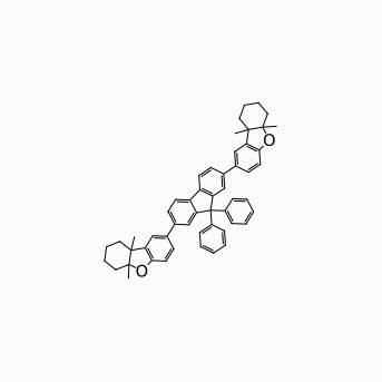 CC12CCCCC1(C)c1cc(-c3ccc4c(c3)C(c3ccccc3)(c3ccccc3)c3cc(-c5ccc6c(c5)C5(C)CCCCC5(C)O6)ccc3-4)ccc1O2